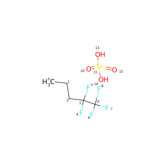 CCCC(F)(F)C(F)(F)F.O=S(=O)(O)O